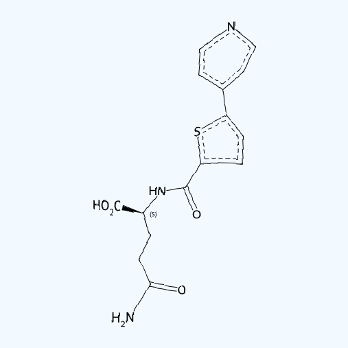 NC(=O)CC[C@H](NC(=O)c1ccc(-c2ccncc2)s1)C(=O)O